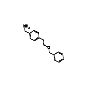 NCc1ccc(C=COCc2ccccc2)cc1